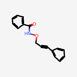 O=C(NOCC#Cc1ccccc1)c1ccccc1